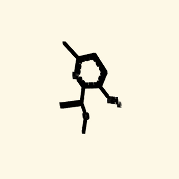 C=C(OC)c1nc(C)ccc1N